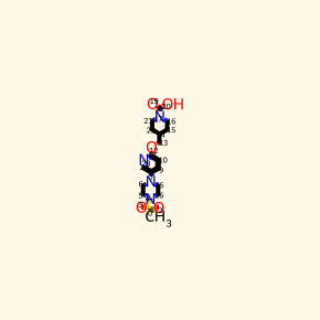 CS(=O)(=O)N1CCN(c2ccc(OCC3CCN(C(=O)O)CC3)nc2)CC1